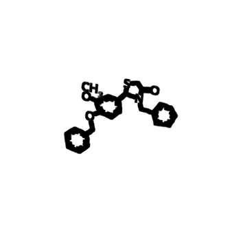 COc1cc(C2SCC(=O)N2Cc2ccccc2)ccc1OCc1ccccc1